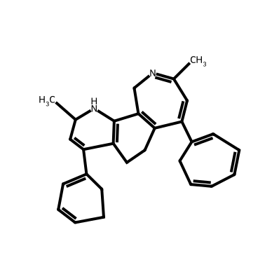 CC1=NCC2=C(CCC3=C2NC(C)C=C3C2=CC=CCC2)C(C2=CC=CC=CC2)=C1